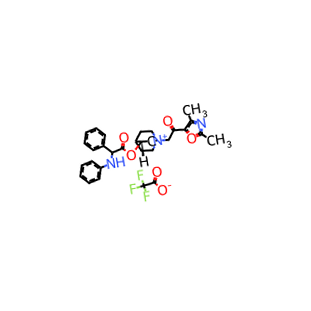 Cc1nc(C)c(C(=O)C[N+]23CCC(CC2)[C@@H](OC(=O)C(Nc2ccccc2)c2ccccc2)C3)o1.O=C([O-])C(F)(F)F